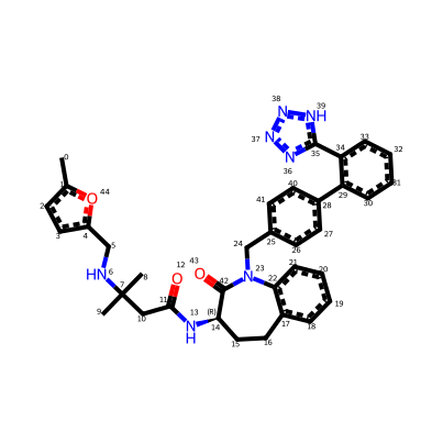 Cc1ccc(CNC(C)(C)CC(=O)N[C@@H]2CCc3ccccc3N(Cc3ccc(-c4ccccc4-c4nnn[nH]4)cc3)C2=O)o1